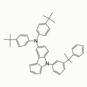 CC(C)(C)c1ccc(N(c2ccc(C(C)(C)C)cc2)c2ccc3c(c2)c2ccccc2n3-c2cccc(C(C)(C)c3ccccc3)c2)cc1